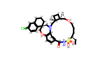 CC[C@@H]1CCCOC[C@@H]2CC[C@H]2CN2C[C@@]3(CCCc4cc(Cl)ccc43)COc3ccc(cc32)C(=O)NS1(=O)=O